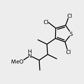 CONC(C)C(C)C(C)c1c(Cl)sc(Cl)c1Cl